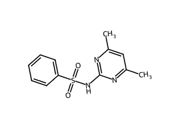 Cc1cc(C)nc(NS(=O)(=O)c2ccccc2)n1